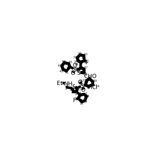 CCNCc1cc(-c2ccccc2F)c(S(=O)(=O)c2ccccc2)s1.Cl.O=Cc1cc(-c2ccccc2F)c(S(=O)(=O)c2ccccc2)s1